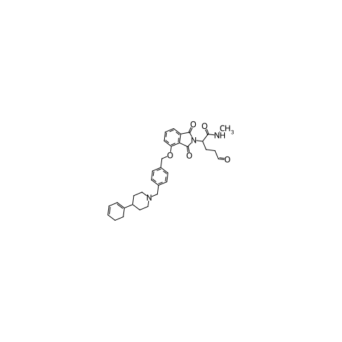 CNC(=O)C(CCC=O)N1C(=O)c2cccc(OCc3ccc(CN4CCC(C5=CC=CCC5)CC4)cc3)c2C1=O